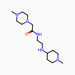 CN1CCC(NCCNC(=O)CN2CCN(C)CC2)CC1